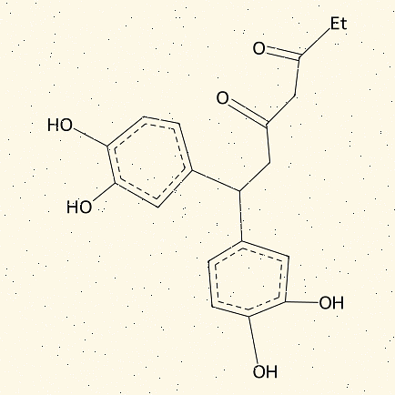 CCC(=O)CC(=O)CC(c1ccc(O)c(O)c1)c1ccc(O)c(O)c1